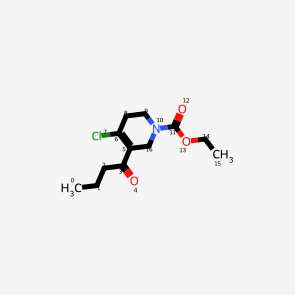 CCCC(=O)C1=C(Cl)CCN(C(=O)OCC)C1